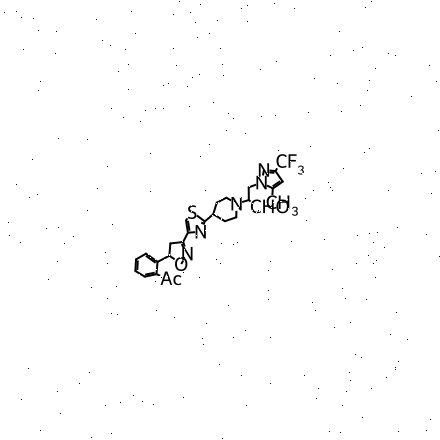 CC(=O)c1ccccc1C1CC(c2csc(C3CCN(C(C=O)Cn4nc(C(F)(F)F)cc4C)CC3)n2)=NO1